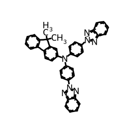 CC1(C)c2ccccc2-c2ccc(N(c3ccc(-n4nc5ccccc5n4)cc3)c3ccc(-n4nc5ccccc5n4)cc3)cc21